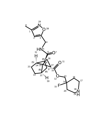 Cc1cc(CNC(=O)[C@H]2[C@H](C(=O)OCC3(F)CCNCC3)[C@H]3CC[C@@H]2C32CC2)on1